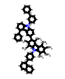 Bc1c(B)c(B)c2c(c1B)c1c(B)c(-c3ccc4c(c3)c3c(-c5ccccc5)cccc3n4-c3cccc(-c4ccccc4)c3)c(B)c(B)c1n2-c1ccc(-c2cccc3ccccc23)cc1